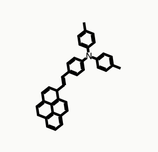 Cc1ccc(N(c2ccc(C)cc2)c2ccc(C=CC3C=CC4=CCc5cccc6ccc3c4c56)cc2)cc1